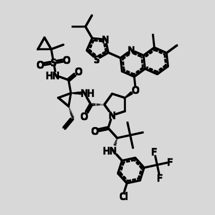 C=C[C@@H]1C[C@]1(NC(=O)[C@@H]1C[C@@H](Oc2cc(-c3nc(C(C)C)cs3)nc3c(C)c(C)ccc23)CN1C(=O)[C@@H](Nc1cc(Cl)cc(C(F)(F)F)c1)C(C)(C)C)C(=O)NS(=O)(=O)C1(C)CC1